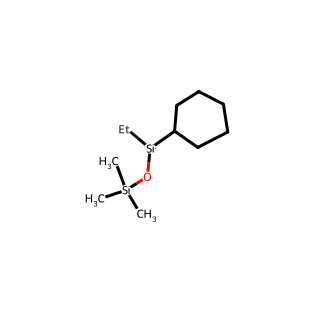 CC[Si](O[Si](C)(C)C)C1CCCCC1